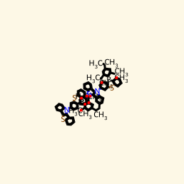 CC(C)c1cc(C(C)C)c(B2c3ccccc3Sc3cc(-n4c5ccc(CC(C)c6cc(C(C)C)c(B7c8ccccc8Sc8cc(-n9c%10ccccc%10c%10sc%11ccccc%11c%109)ccc87)c(C(C)C)c6)cc5c5c4c4ccccc4n5-c4ccccc4)ccc32)c(C(C)C)c1